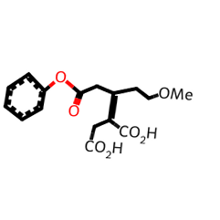 COCCC(CC(=O)Oc1ccccc1)=C(CC(=O)O)C(=O)O